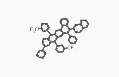 FC(F)(F)c1cccc(-c2c3cc(-c4ccccc4)ccc3c(-c3cccc(C(F)(F)F)c3)c3cc4c(cc23)c(-c2ccccc2)c(-c2ccc3ccccc3c2)c2ccccc24)c1